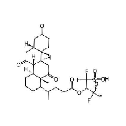 CC(CCC(=O)OC(C(F)(F)F)C(F)(F)S(=O)(=O)O)C1CCC[C@H]2[C@@H]3C(=O)C[C@@H]4CC(=O)CC[C@]4(C)[C@H]3CC(=O)[C@]12C